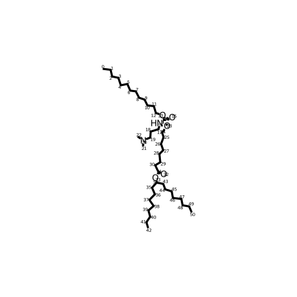 CCCCCCCCCCCCCOP(=O)(NCCCN(C)C)OCCCCCCCC(=O)OC(CCCCCCCC)CCCCCCCC